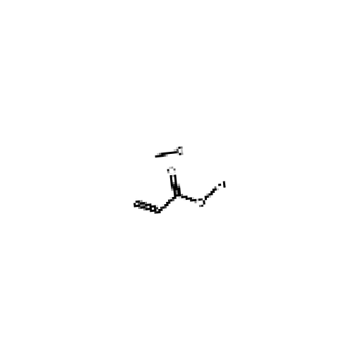 C=CC(=O)OCC.C[O]